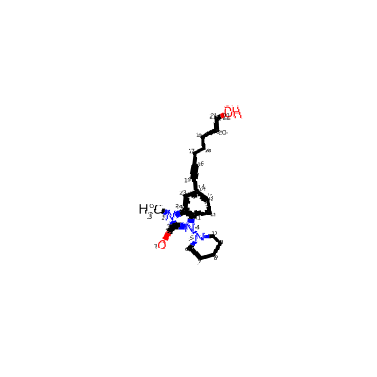 Cn1c(=O)n(N2CCCCC2)c2ccc(C#CCCCCCO)cc21